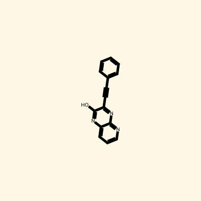 Oc1nc2cccnc2nc1C#Cc1ccccc1